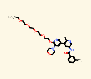 Cc1ncc(NC(=O)c2cccc(C(F)(F)F)c2)cc1-c1cnc(OCCOCCOCCOCCOCC(=O)O)c(N2CCOCC2)c1